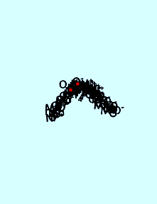 O=[N+]([O-])[O-].[NH4+].[NH4+].[NH4+].[NH4+].[NH4+].[NH4+].[NH4+].[NH4+].[NH4+].[NH4+].[NH4+].[NH4+].[NH4+].[Ni+2].[O]=[Mo](=[O])([O-])[O-].[O]=[Mo](=[O])([O-])[O-].[O]=[Mo](=[O])([O-])[O-].[O]=[Mo](=[O])([O-])[O-].[O]=[Mo](=[O])([O-])[O-].[O]=[Mo](=[O])([O-])[O-].[O]=[Mo](=[O])([O-])[O-]